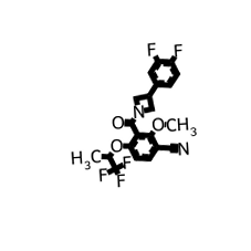 COc1c(C#N)ccc(OC(C)C(F)(F)F)c1C(=O)N1CC(c2ccc(F)c(F)c2)C1